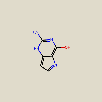 Nc1nc(O)c2nccc-2[nH]1